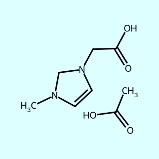 CC(=O)O.CN1C=CN(CC(=O)O)C1